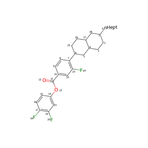 CCCCCCCC1CCC2CC(c3ccc(C(=O)Oc4ccc(F)c(F)c4)cc3F)CCC2C1